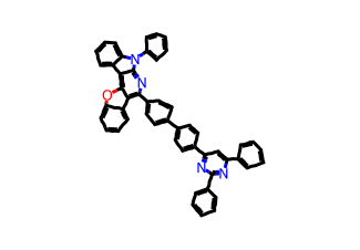 c1ccc(-c2cc(-c3ccc(-c4ccc(-c5nc6c(c7ccccc7n6-c6ccccc6)c6oc7ccccc7c56)cc4)cc3)nc(-c3ccccc3)n2)cc1